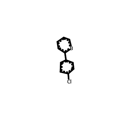 Clc1ccc(-c2bcccc2)cc1